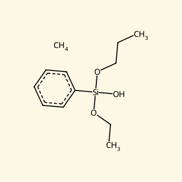 C.CCCO[Si](O)(OCC)c1ccccc1